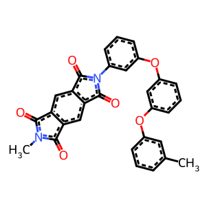 Cc1cccc(Oc2cccc(Oc3cccc(-n4c(=O)c5cc6c(=O)n(C)c(=O)c6cc5c4=O)c3)c2)c1